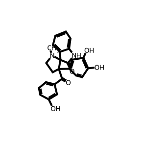 CN1CCC(C(=O)c2cccc(O)c2)(c2ccc(O)c(O)c2)C12C(=O)Nc1ccccc12